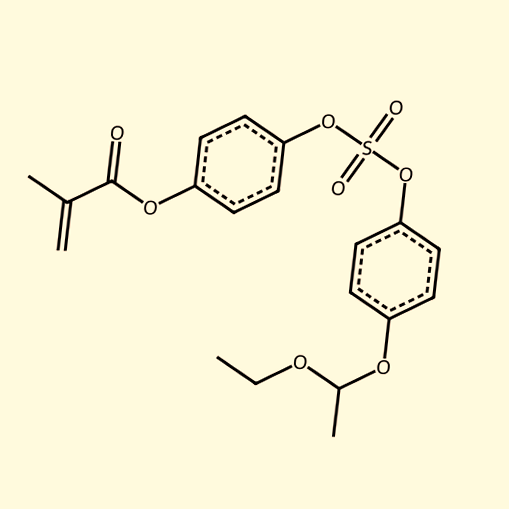 C=C(C)C(=O)Oc1ccc(OS(=O)(=O)Oc2ccc(OC(C)OCC)cc2)cc1